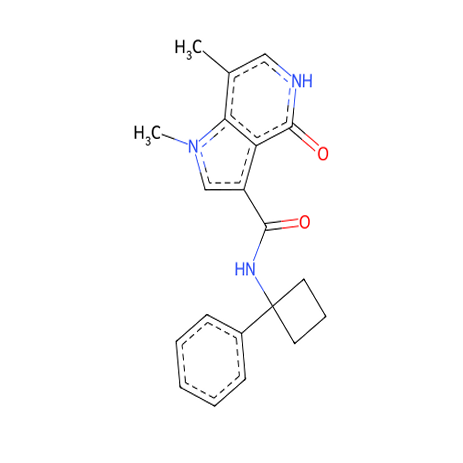 Cc1c[nH]c(=O)c2c(C(=O)NC3(c4ccccc4)CCC3)cn(C)c12